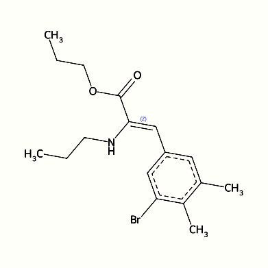 CCCN/C(=C\c1cc(C)c(C)c(Br)c1)C(=O)OCCC